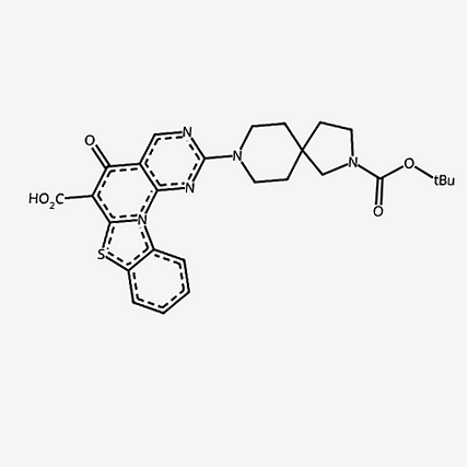 CC(C)(C)OC(=O)N1CCC2(CCN(c3ncc4c(=O)c(C(=O)O)c5sc6ccccc6n5c4n3)CC2)C1